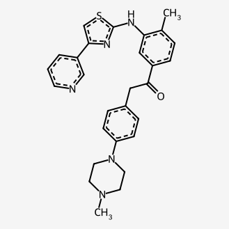 Cc1ccc(C(=O)Cc2ccc(N3CCN(C)CC3)cc2)cc1Nc1nc(-c2cccnc2)cs1